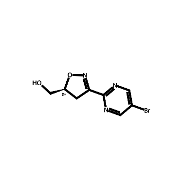 OC[C@@H]1CC(c2ncc(Br)cn2)=NO1